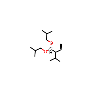 C=CC(C(C)C)[SiH](OCC(C)C)OCC(C)C